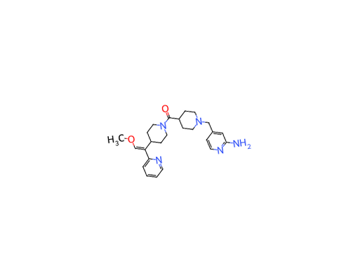 COC=C(c1ccccn1)C1CCN(C(=O)C2CCN(Cc3ccnc(N)c3)CC2)CC1